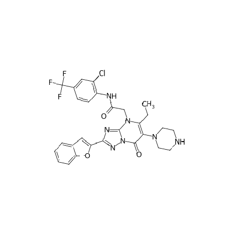 CCc1c(N2CCNCC2)c(=O)n2nc(-c3cc4ccccc4o3)nc2n1CC(=O)Nc1ccc(C(F)(F)F)cc1Cl